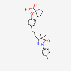 Cc1ccc(N2N=C(CCCc3ccc(OC4(C(=O)O)CCCC4)cc3)C(C)(C)C2=O)cc1